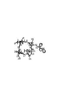 C=Cc1c(C)c2cc3nc(c(C)c4cc(C)c(cc5nc(cc1[nH]2)C(C)=C5CC)[nH]4)[C@@H](CCC(=O)OC=O)[C@@H]3C